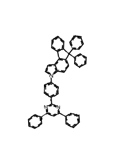 c1ccc(-c2cc(-c3ccccc3)nc(-c3ccc(-n4ccc5c6c(ccc54)C(c4ccccc4)(c4ccccc4)c4ccccc4-6)cc3)n2)cc1